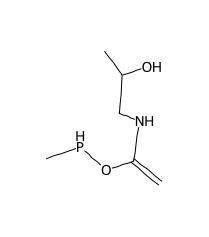 C=C(NCC(C)O)OPC